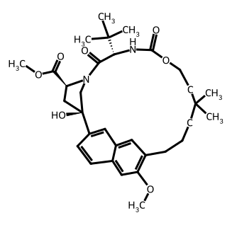 COC(=O)[C@@H]1C[C@]2(O)CN1C(=O)[C@H](C(C)(C)C)NC(=O)OCCC(C)(C)CCCc1cc3cc2ccc3cc1OC